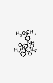 CN(C)c1ccc(Nc2cc(=O)n(C)c3c2c(=O)n(C2CC2)c(=O)n3-c2ccccc2)cc1